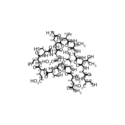 CC[C@H](C)[C@H](NC(=O)[C@H](CS)NC(=O)[C@H](CC(C)C)NC(=O)[C@H](CCC(=O)O)NC(=O)[C@H](CS)NC(=O)[C@H](CC(=O)O)NC(=O)[C@H](CCC(=O)O)NC(=O)[C@@H](N)CCC(N)=O)C(=O)N[C@@H](CC(N)=O)C(=O)N[C@H](C(=O)N[C@@H](C)C(=O)N[C@@H](CS)C(=O)N[C@H](C(=O)NCC(=O)N[C@@H](CS)C(=O)O)[C@@H](C)O)C(C)C